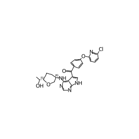 CC(O)[C@@H]1CC[C@@H](Nc2ncnc3[nH]cc(C(=O)c4ccc(Oc5cccc(Cl)n5)cc4)c23)CO1